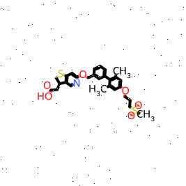 Cc1cc(OCCCS(C)(=O)=O)cc(C)c1-c1cccc(COc2cc3c(cn2)C(CC(=O)O)CS3)c1